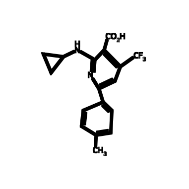 Cc1ccc(-c2cc(C(F)(F)F)c(C(=O)O)c(NC3CC3)n2)cc1